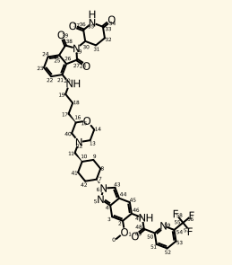 COc1cc2nn([C@H]3CC[C@H](CN4CCO[C@H](CCCNc5cccc6c5C(=O)N(C5CCC(=O)NC5=O)C6=O)C4)CC3)cc2cc1NC(=O)c1cccc(C(F)(F)F)n1